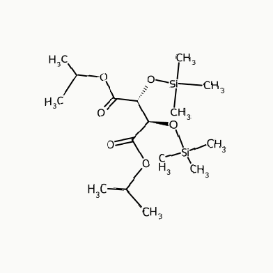 CC(C)OC(=O)[C@H](O[Si](C)(C)C)[C@@H](O[Si](C)(C)C)C(=O)OC(C)C